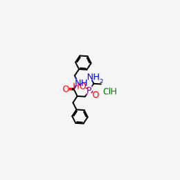 CC(N)P(=O)(O)CC(Cc1ccccc1)C(=O)NCc1ccccc1.Cl